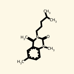 C=C1c2cc(C)ccc2N(C)C(=O)N1CCCC(C)C